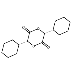 O=C1O[C@H](C2CCCCC2)C(=O)O[C@@H]1C1CCCCC1